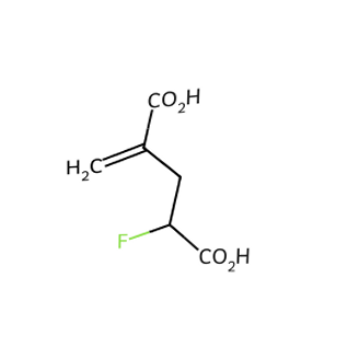 C=C(CC(F)C(=O)O)C(=O)O